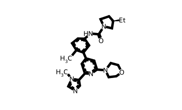 CC[C@@H]1CCN(C(=O)Nc2ccc(C)c(-c3cc(-c4cncn4C)nc(N4CCOCC4)c3)c2)C1